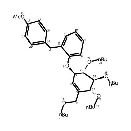 CCCCOCC1=C[C@@H](Oc2ccccc2Cc2ccc(OC)cc2)[C@H](OCCCC)[C@@H](OCCCC)[C@@H]1OCCCC